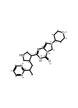 CC(CC1CNCC1C1=NC2=CN(C3CCOCC3)CN2C(=O)N1)c1ncccn1